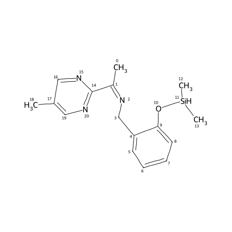 CC(=NCc1ccccc1O[SiH](C)C)c1ncc(C)cn1